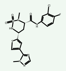 CN1[C@H](C(=O)Nc2ccc(F)c(Cl)c2)C[C@H](c2cc(-c3ncnn3C)cs2)NS1(=O)=O